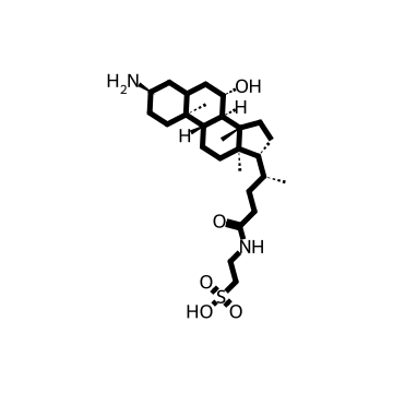 C[C@H](CCC(=O)NCCS(=O)(=O)O)[C@H]1CC[C@@]2(C)[C@@H]3[C@@H](O)CC4C[C@H](N)CC[C@]4(C)[C@H]3CC[C@]12C